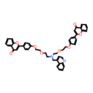 O=c1cc(-c2ccc(OCCOCCN(CCOCCOc3ccc(-c4cc(=O)c5ccccc5o4)cc3)Cc3ccnc4ccccc34)cc2)oc2ccccc12